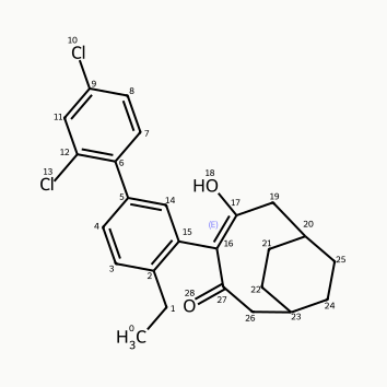 CCc1ccc(-c2ccc(Cl)cc2Cl)cc1/C1=C(\O)CC2CCC(CC2)CC1=O